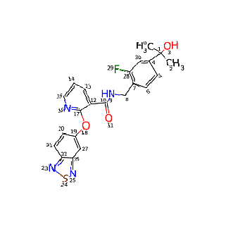 CC(C)(O)c1ccc(CNC(=O)c2cccnc2Oc2ccc3nsnc3c2)c(F)c1